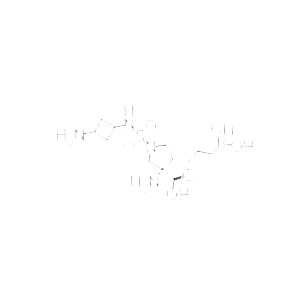 NC1CC(NS(=O)(=O)N2C[C@H](CCCB(O)O)[C@](N)(C(=O)O)C2)C1